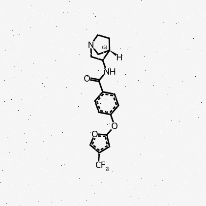 O=C(NC1CN2CC[C@H]1C2)c1ccc(Oc2cc(C(F)(F)F)co2)cc1